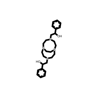 OC(CN1CCN2CCN(CC1)CCN(CC(O)c1ccccc1)CC2)c1ccccc1